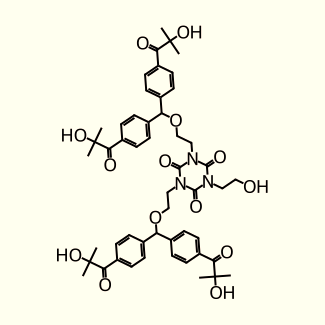 CC(C)(O)C(=O)c1ccc(C(OCCn2c(=O)n(CCO)c(=O)n(CCOC(c3ccc(C(=O)C(C)(C)O)cc3)c3ccc(C(=O)C(C)(C)O)cc3)c2=O)c2ccc(C(=O)C(C)(C)O)cc2)cc1